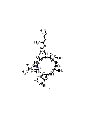 NCCCC(N)CC(=O)NC[C@@H]1NC(=O)[C@H](CO)NC(=O)[C@@H](N)CNC(=O)[C@H]([C@H]2CCN=C(N)N2)NC(=O)/C(=C\NC(N)=O)NC1=O